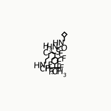 CNCCCC(C)/C=C(/SC(=N)C(=O)NCC1CCC1)C1=CCC(C(C)(C(F)(F)F)C(F)(F)F)C=C1C(F)F